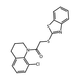 O=C(CSc1nc2ccccc2s1)N1CCCc2cccc(Cl)c21